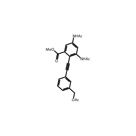 COC(=O)c1cc(NC(C)=O)cc(NC(C)=O)c1C#Cc1cccc(COC(C)=O)c1